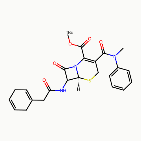 CN(C(=O)C1=C(C(=O)OC(C)(C)C)N2C(=O)C(NC(=O)CC3=CCC=CC3)[C@@H]2SC1)c1ccccc1